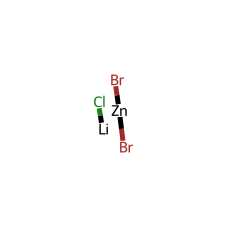 [Br][Zn][Br].[Li][Cl]